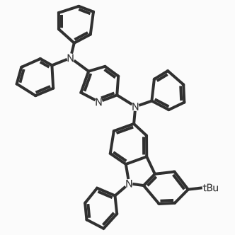 CC(C)(C)c1ccc2c(c1)c1cc(N(c3ccccc3)c3ccc(N(c4ccccc4)c4ccccc4)cn3)ccc1n2-c1ccccc1